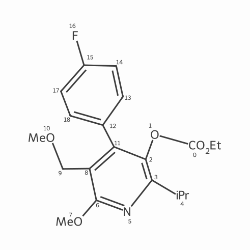 CCOC(=O)Oc1c(C(C)C)nc(OC)c(COC)c1-c1ccc(F)cc1